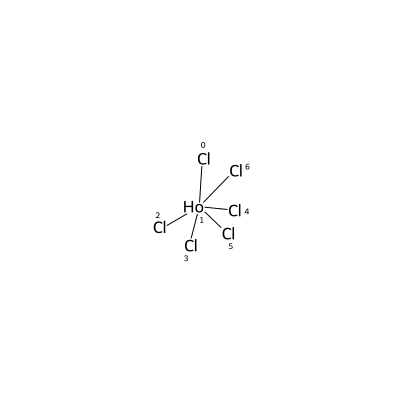 [Cl][Ho]([Cl])([Cl])([Cl])([Cl])[Cl]